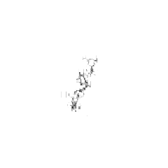 NS(=O)(=O)OC[C@H]1O[C@@H](n2cnc3c(CNC(=O)c4cc(F)cc(F)c4)ncnc32)C[C@@H]1O